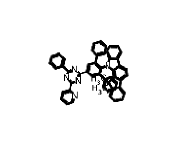 CC1(C)c2ccccc2-c2ccc3c4ccccc4n(-c4c(-c5ccccc5)cc(-c5nc(-c6ccccc6)nc(-c6ccccn6)n5)cc4-c4ccccc4)c3c21